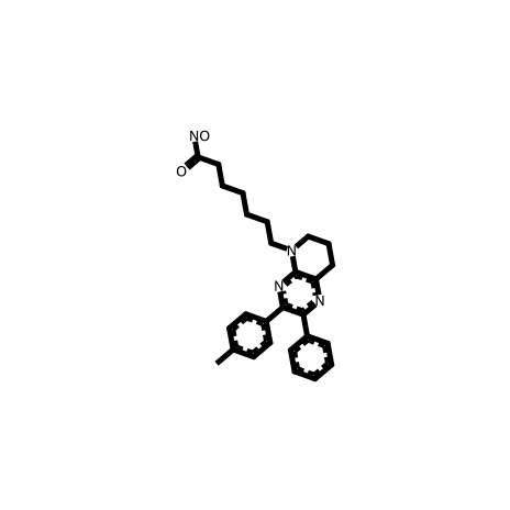 Cc1ccc(-c2nc3c(nc2-c2ccccc2)CCCN3CCCCCCC(=O)N=O)cc1